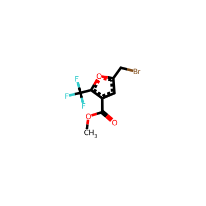 COC(=O)c1cc(CBr)oc1C(F)(F)F